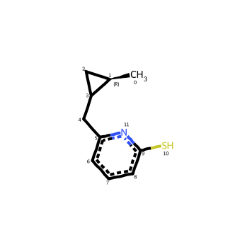 C[C@@H]1CC1Cc1cccc(S)n1